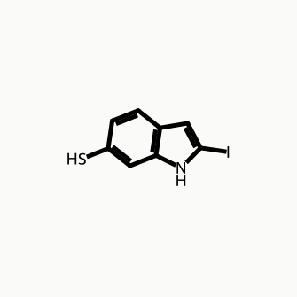 Sc1ccc2cc(I)[nH]c2c1